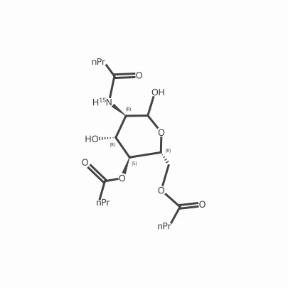 CCCC(=O)[15NH][C@H]1C(O)O[C@H](COC(=O)CCC)[C@@H](OC(=O)CCC)[C@@H]1O